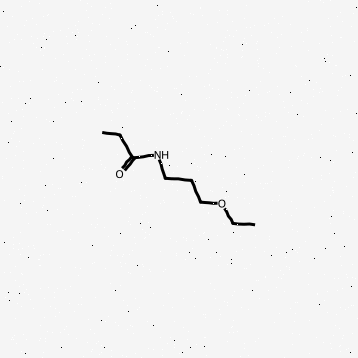 CCOCCCNC(=O)CC